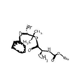 CC(C)[C@@H](Oc1ccccc1)C(C)(C)OC(=O)[C@H](C)NC(=O)OC(C)(C)C